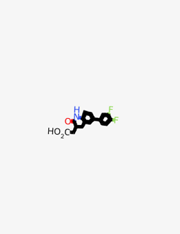 O=C(O)CC1Cc2cc(-c3ccc(F)c(F)c3)ccc2NC1=O